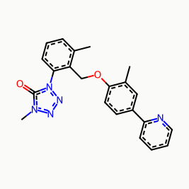 Cc1cc(-c2ccccn2)ccc1OCc1c(C)cccc1-n1nnn(C)c1=O